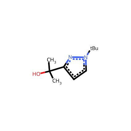 CC(C)(O)c1ccn(C(C)(C)C)n1